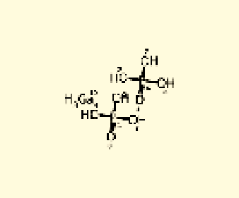 O=P(O)(O)O.O=P(O)(O)O.[GaH3]